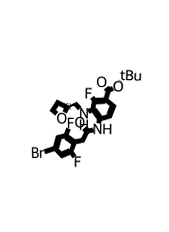 CC(C)(C)OC(=O)c1ccc(NC(=O)Cc2c(F)cc(Br)cc2F)c(NC[C@@H]2CCO2)c1F